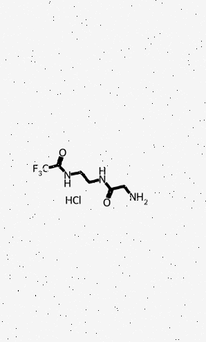 Cl.NCC(=O)NCCNC(=O)C(F)(F)F